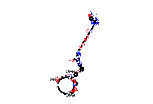 CO[C@H]1C[C@@H]2CC[C@@H](C)[C@@](O)(O2)C(=O)C(=O)N2CCCC[C@H]2C(=O)O[C@H]([C@H](N)C[C@@H]2CC[C@@H](OCc3cccc(-c4cnc(N5CCN(Cc6cn(CCOCCOCCOCCOCCC(=O)NCCCCn7nc(-c8ccc9oc(N)nc9c8)c8c(N)ncnc87)nn6)C(CO)C5)nc4)c3)[C@H](OC)C2)CC(=O)[C@H](C)/C=C(\C)[C@@H](O)[C@@H](OC)C(=O)[C@H](C)C[C@H](C)/C=C/C=C/C=C/1C